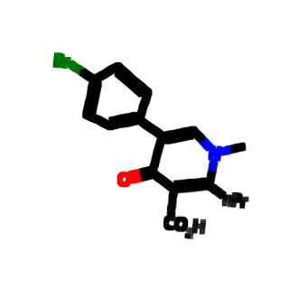 CCCc1c(C(=O)O)c(=O)c(-c2ccc(Br)cc2)cn1C